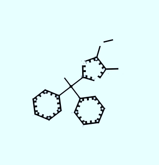 CSc1nc(C(C)(c2ccccc2)c2ccccc2)oc1C